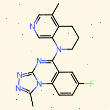 Cc1cncc2c1CCCN2c1nc2nnc(C)n2c2ccc(F)cc12